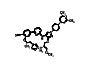 COC[C@H](C)COc1nn([C@H]2CC[C@H](N3C[C@@H](C)O[C@@H](C)C3)CC2)cc1Nc1nccc(-c2ccc(C#N)c(O[C@@H](C)Cn3cnnn3)c2)n1